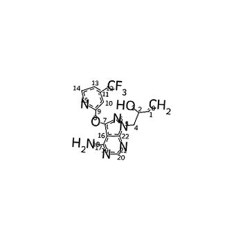 C=CC(O)Cn1nc(Oc2cc(C(F)(F)F)ccn2)c2c(N)ncnc21